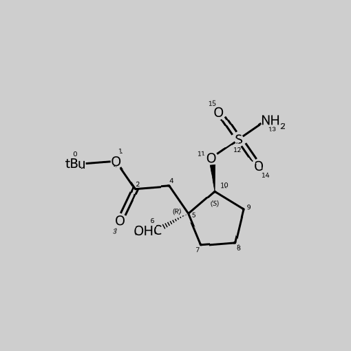 CC(C)(C)OC(=O)C[C@]1(C=O)CCC[C@@H]1OS(N)(=O)=O